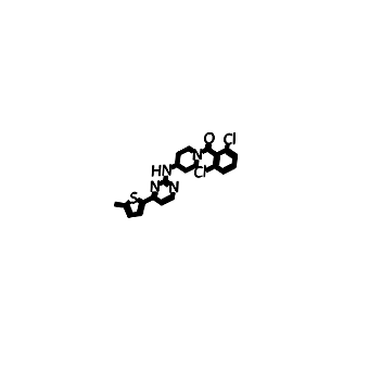 Cc1ccc(-c2ccnc(NC3CCN(C(=O)c4c(Cl)cccc4Cl)CC3)n2)s1